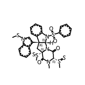 CSn1cc([C@]23C[C@]4(S(C)=S)C(=O)N(C)[C@@H](S(C)=S)C(=O)N4[C@H]2N(S(=O)(=O)c2ccccc2)c2ccccc23)c2ccccc21